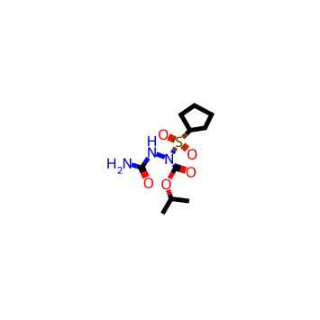 CC(C)OC(=O)N(NC(N)=O)S(=O)(=O)C1CCCC1